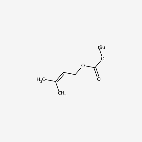 CC(C)=CCOC(=O)OC(C)(C)C